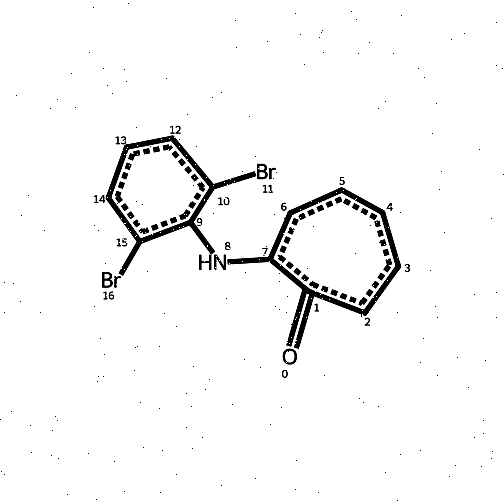 O=c1cccccc1Nc1c(Br)cccc1Br